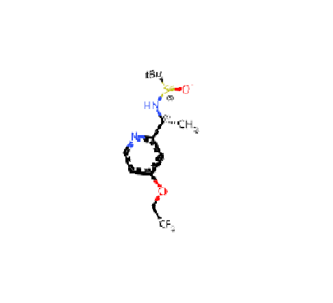 C[C@@H](N[S@+]([O-])C(C)(C)C)c1cc(OCC(F)(F)F)ccn1